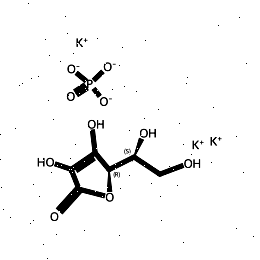 O=C1O[C@H]([C@@H](O)CO)C(O)=C1O.O=P([O-])([O-])[O-].[K+].[K+].[K+]